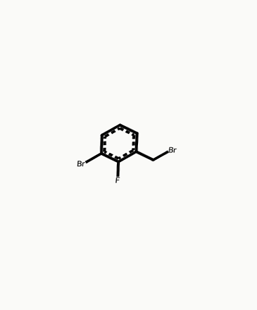 Fc1c(Br)cccc1CBr